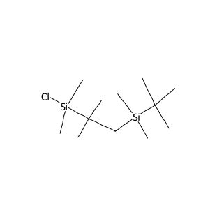 CC(C)(C[Si](C)(C)C(C)(C)C)[Si](C)(C)Cl